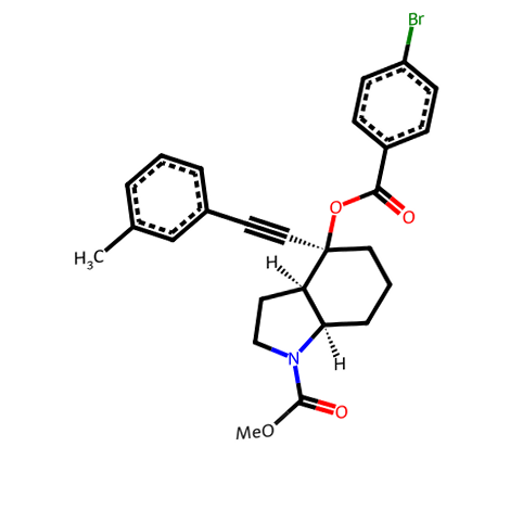 COC(=O)N1CC[C@@H]2[C@H]1CCC[C@]2(C#Cc1cccc(C)c1)OC(=O)c1ccc(Br)cc1